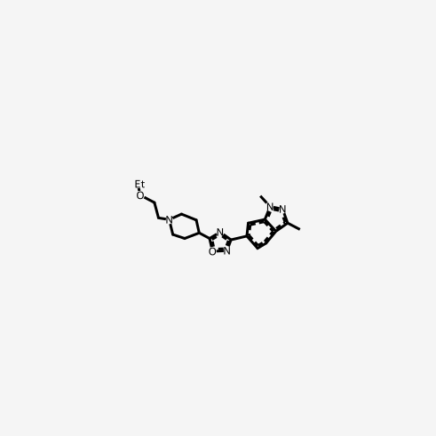 CCOCCN1CCC(c2nc(-c3ccc4c(C)nn(C)c4c3)no2)CC1